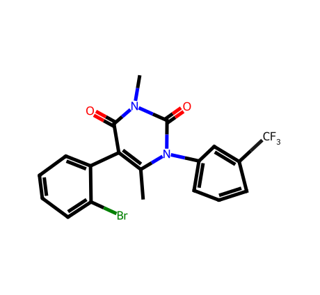 Cc1c(-c2ccccc2Br)c(=O)n(C)c(=O)n1-c1cccc(C(F)(F)F)c1